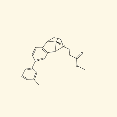 COC(=O)CCN1CCC2c3ccc(-c4cccc(C)c4)cc3C1[C@H]2C